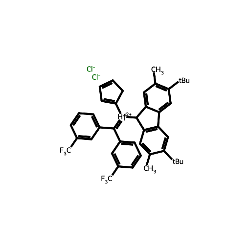 Cc1cc2c(cc1C(C)(C)C)-c1cc(C(C)(C)C)c(C)cc1[CH]2[Hf+2]([C]1=CC=CC1)=[C](c1cccc(C(F)(F)F)c1)c1cccc(C(F)(F)F)c1.[Cl-].[Cl-]